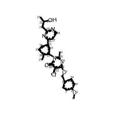 COc1ccc(COc2nc(C)n(-c3cc(-c4ccnc(CC(C)O)n4)ccc3C)c(=O)c2Cl)cc1